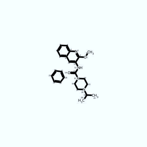 COc1nc2ccccc2cc1NC(=O)N1CCN(C(C)C)CC1.c1ccccc1